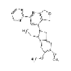 CCC1c2cc(OC)c(OC)cc2CN1c1nc(-c2ncccn2)nc2c1COC2